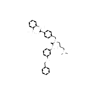 CN(C)CCCN(Cc1ccc(C(=O)Nc2ccccc2N)cc1)C(=O)Nc1cccc(OCc2ccccc2)c1